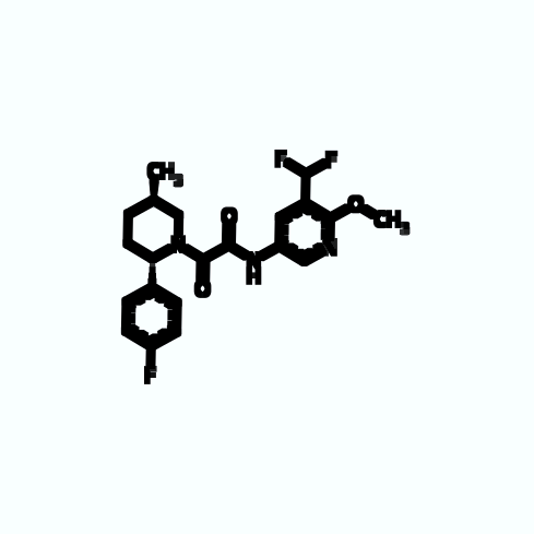 COc1ncc(NC(=O)C(=O)N2C[C@H](C)CC[C@H]2c2ccc(F)cc2)cc1C(F)F